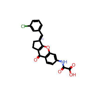 O=C(O)C(=O)Nc1ccc2c(=O)c3c(oc2c1)/C(=C/c1cccc(Cl)c1)CC3